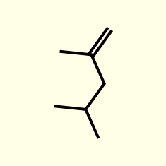 C=C(C)CC(C)C